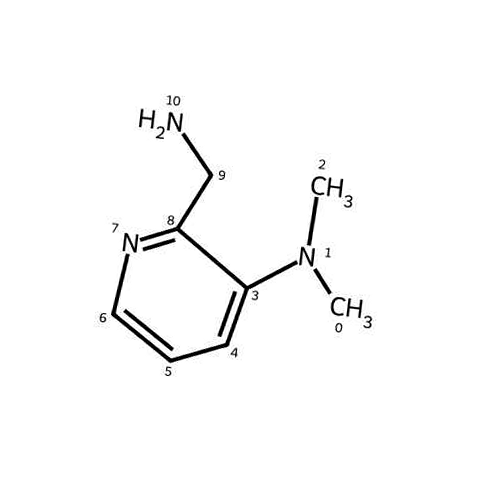 CN(C)c1cccnc1CN